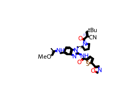 COC[C@@H](C)NCc1ccc2c(c1)nc(NC(=O)c1ccc(-c3cnco3)s1)n2C[C@H]1CCCN1C(=O)/C(C#N)=C/C(C)(C)C